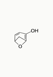 OC1=C2CC(C=C1)O2